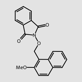 COc1ccc2ccccc2c1CON1C(=O)c2ccccc2C1=O